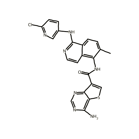 Cc1ccc2c(Nc3ccc(Cl)nc3)nccc2c1NC(=O)c1csc2c(N)ncnc12